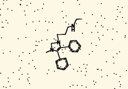 CCNCCCN1CN(C)C(c2ccccc2)=C1c1ccccc1